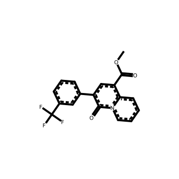 COC(=O)c1cc(-c2cccc(C(F)(F)F)c2)c(=O)n2ccccc12